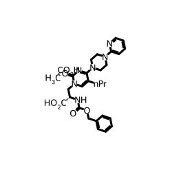 CC(=O)O.CCCc1cn(C[C@H](NC(=O)OCc2ccccc2)C(=O)O)c(=O)nc1N1CCN(c2ccccn2)CC1